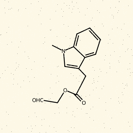 Cn1cc(CC(=O)OCC=O)c2ccccc21